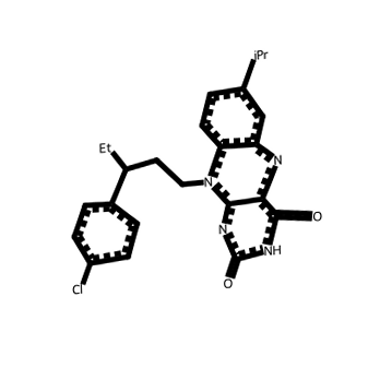 CCC(CCn1c2nc(=O)[nH]c(=O)c-2nc2cc(C(C)C)ccc21)c1ccc(Cl)cc1